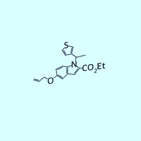 C=CCOc1ccc2c(c1)cc(C(=O)OCC)n2C(C)c1ccsc1